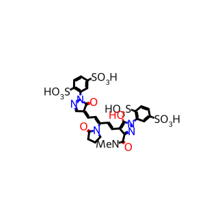 CNC(=O)c1nn(-c2cc(S(=O)(=O)O)ccc2S(=O)(=O)O)c(O)c1C=CC(=C/C=C1/C=NN(c2cc(S(=O)(=O)O)ccc2S(=O)(=O)O)C1=O)N1CCCC1=O